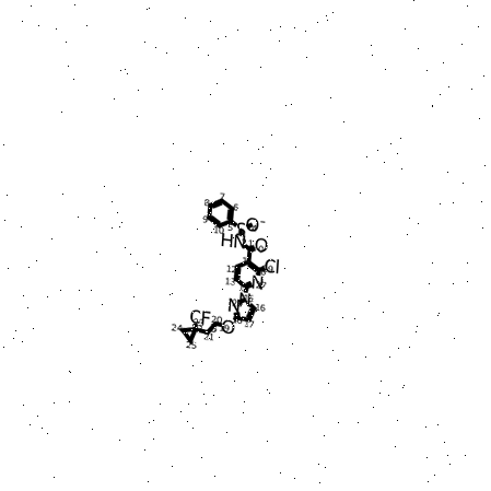 O=C(N[S+]([O-])c1ccccc1)c1ccc(-n2ccc(OCCC3(C(F)(F)F)CC3)n2)nc1Cl